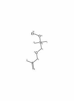 C=C(C)COC[Si](C)(C)OCC